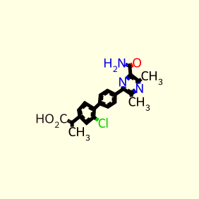 Cc1nc(C)c(-c2ccc(-c3ccc(C(C)C(=O)O)cc3Cl)cc2)nc1C(N)=O